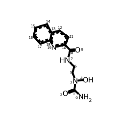 NC(=O)N(O)CCNC(=O)c1ccc2ccccc2n1